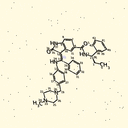 CC[C@@H](NC(=O)c1ccc2c(c1)/C(=C(/Nc1ccc(CN3CCN(C)CC3)cc1)c1ccccc1)C(=O)N2)c1ccccc1